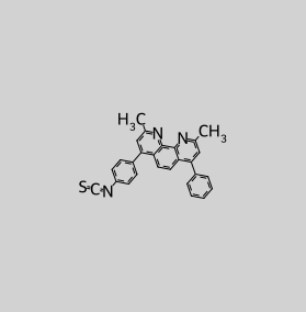 Cc1cc(-c2ccccc2)c2ccc3c(-c4ccc(N=C=S)cc4)cc(C)nc3c2n1